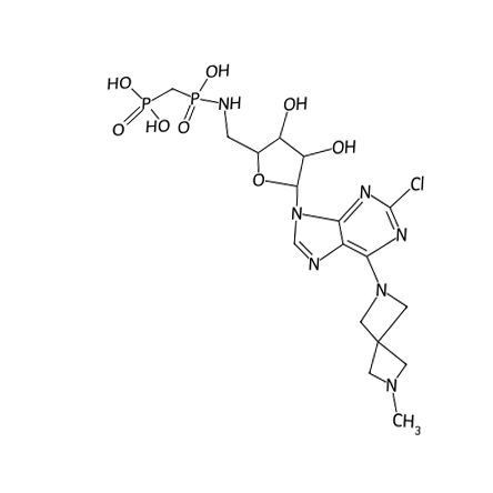 CN1CC2(C1)CN(c1nc(Cl)nc3c1ncn3C1OC(CNP(=O)(O)CP(=O)(O)O)C(O)C1O)C2